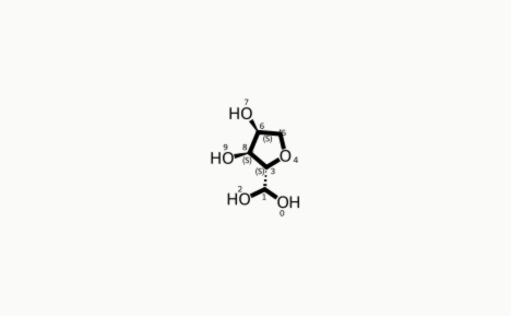 OC(O)[C@H]1O[CH][C@H](O)[C@@H]1O